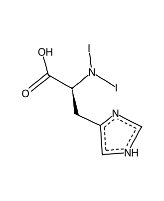 O=C(O)[C@H](Cc1c[nH]cn1)N(I)I